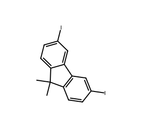 CC1(C)c2ccc(I)cc2-c2cc(I)ccc21